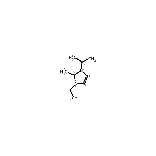 CCN1C=CN(C(C)C)C1C